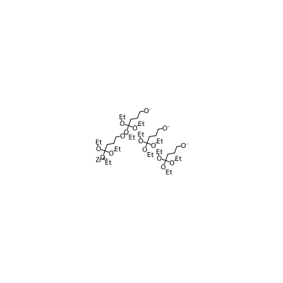 CCOC(CCC[O-])(OCC)OCC.CCOC(CCC[O-])(OCC)OCC.CCOC(CCC[O-])(OCC)OCC.CCOC(CCC[O-])(OCC)OCC.[Zr+4]